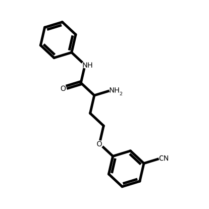 N#Cc1cccc(OCCC(N)C(=O)Nc2ccccc2)c1